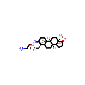 CC[C@H]1/C(=N\OCCN)CC[C@@]2(C)C1CC[C@@H]1[C@@H]2CC[C@]2(C)C(=O)CC[C@@H]12